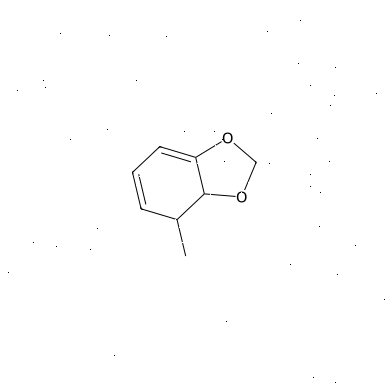 CC1C=CC=C2OCOC21